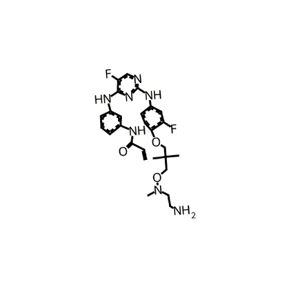 C=CC(=O)Nc1cccc(Nc2nc(Nc3ccc(OCC(C)(C)CON(C)CCN)c(F)c3)ncc2F)c1